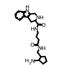 NC1CCCC1CNC(=O)CCCNC(=O)C1Cc2c([nH]c3ccccc23)CN1